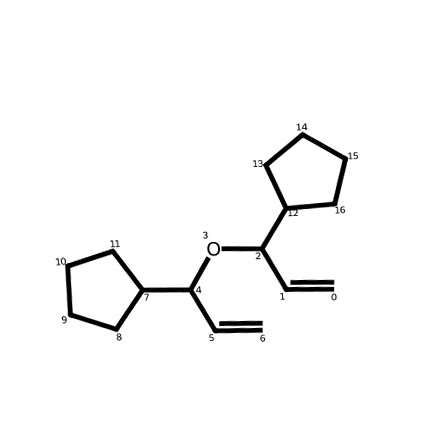 C=CC(OC(C=C)C1CCCC1)C1CCCC1